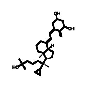 C=C1/C(=C\C=C2/CCC[C@@]3(C)[C@H]2CC[C@@H]3[C@](C)(CCCC(C)(C)O)C2CC2)C[C@@H](O)CC1O